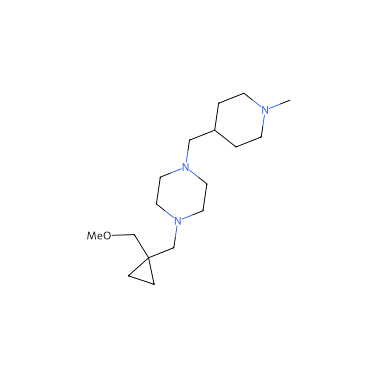 COCC1(CN2CCN(CC3CCN(C)CC3)CC2)CC1